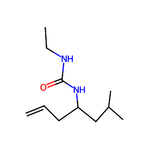 C=CCC(CC(C)C)NC(=O)NCC